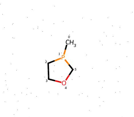 CP1CCOC1